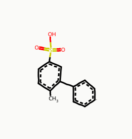 Cc1ccc(S(=O)(=O)O)cc1-c1cc[c]cc1